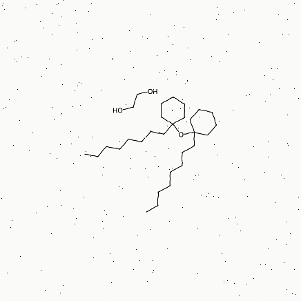 CCCCCCCCC1(OC2(CCCCCCCC)CCCCC2)CCCCC1.OCCO